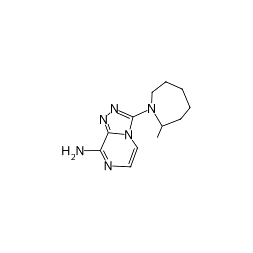 CC1CCCCCN1c1nnc2c(N)nccn12